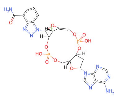 NC(=O)c1cccc2c1nnn2[C@@H]1O/C2=C/OP(=O)(O)O[C@H]3C[C@H](n4cnc5c(N)ncnc54)O[C@@H]3COP(=O)(O)O[C@@H]1[C@@H]2F